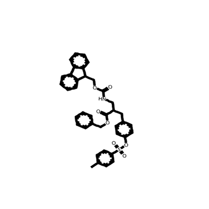 Cc1ccc(S(=O)(=O)Oc2ccc(CC(CNC(=O)OCC3c4ccccc4-c4ccccc43)C(=O)OCc3ccccc3)cc2)cc1